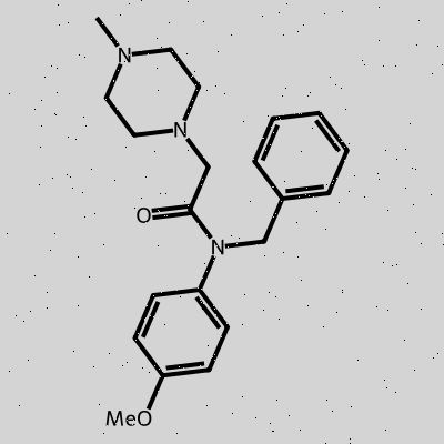 COc1ccc(N(Cc2ccccc2)C(=O)CN2CCN(C)CC2)cc1